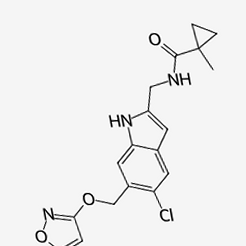 CC1(C(=O)NCc2cc3cc(Cl)c(COc4ccon4)cc3[nH]2)CC1